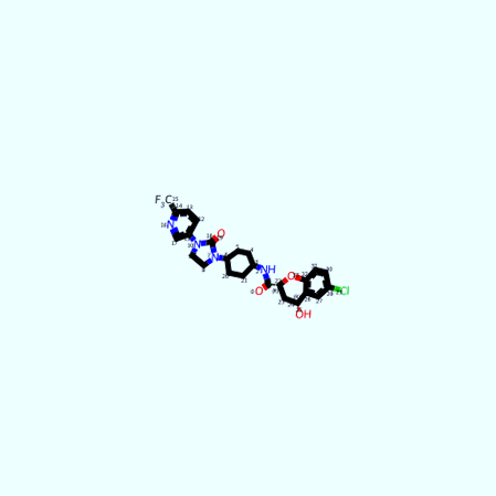 O=C(NC1CCC(N2CCN(c3ccc(C(F)(F)F)nc3)C2=O)CC1)[C@H]1C[C@@H](O)c2cc(Cl)ccc2O1